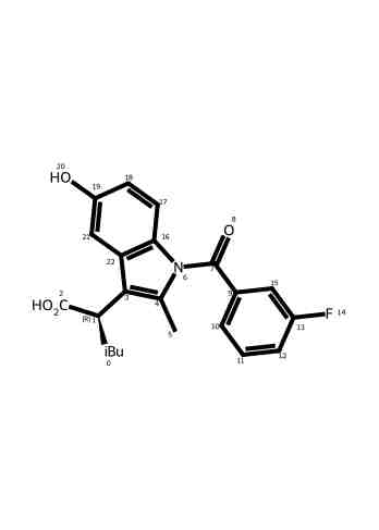 CCC(C)[C@@H](C(=O)O)c1c(C)n(C(=O)c2cccc(F)c2)c2ccc(O)cc12